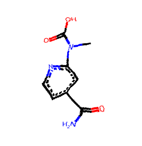 CN(C(=O)O)c1cc(C(N)=O)ccn1